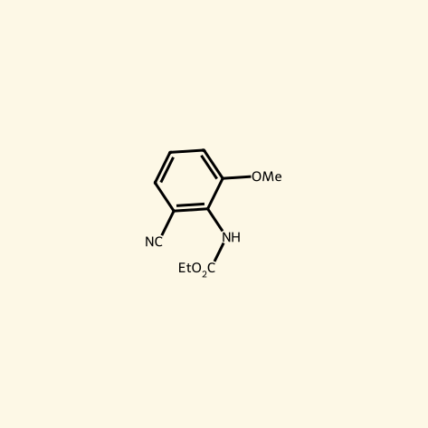 CCOC(=O)Nc1c(C#N)cccc1OC